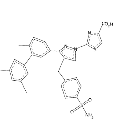 Cc1cc(C)cc(-c2cc(-c3nn(-c4nc(C(=O)O)cs4)cc3Cc3ccc(S(N)(=O)=O)cc3)ccc2C)c1